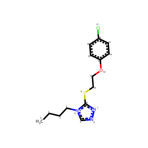 CCCCn1cnnc1SCCOc1ccc(Cl)cc1